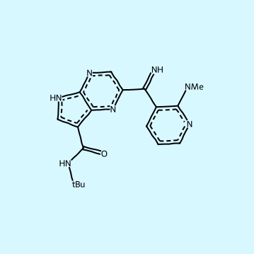 CNc1ncccc1C(=N)c1cnc2[nH]cc(C(=O)NC(C)(C)C)c2n1